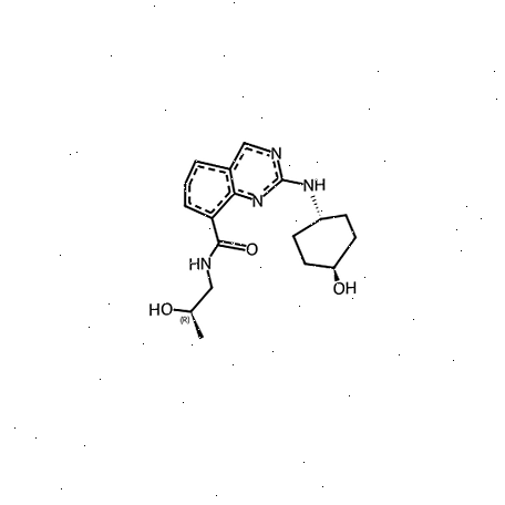 C[C@@H](O)CNC(=O)c1cccc2cnc(N[C@H]3CC[C@H](O)CC3)nc12